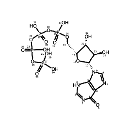 O=c1nc[nH]c2c1ncn2[C@@H]1O[C@H](COP(=O)(O)OP(=O)(O)OP(=O)(O)OP(=O)(O)O)[C@H](O)[C@H]1O